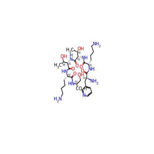 C[C@@H](O)[C@H](NC(=O)[C@H](CCCCN)NC(=O)[C@@H](N)Cc1cccnc1)C(=O)N[C@H](C(=O)N[C@@H](CCCCN)C(=O)N[C@@H](CO)C(=O)O)[C@@H](C)O